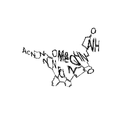 COc1nc(-c2cccc(-c3cccc(-c4cc5c(c(OC)n4)C(NCC4CCC(=O)N4)CO5)c3Cl)c2F)cnc1CN1CCN(C(C)=O)CC1